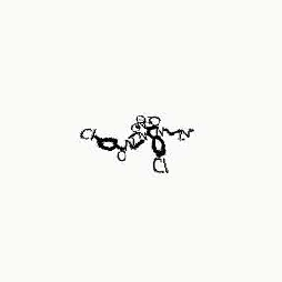 CN(C)CCCn1c(=O)c([N+](=O)[O-])c(N2CCN(C(=O)c3ccc(Cl)cc3)CC2)c2cc(Cl)ccc21